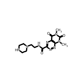 Cn1c(=O)c2nc(C(=O)NCCN3CCNCC3)nnc2n(C)c1=O